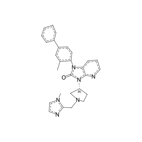 Cc1cc(-c2ccccc2)ccc1-n1c(=O)n([C@@H]2CCN(Cc3nccn3C)C2)c2ncccc21